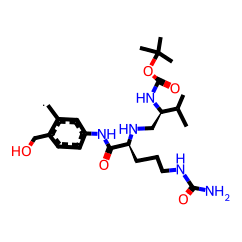 [CH2]c1cc(NC(=O)[C@H](CCCNC(N)=O)NC[C@@H](NC(=O)OC(C)(C)C)C(C)C)ccc1CO